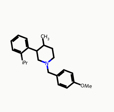 COc1ccc(CN2CCC(C)C(c3ccccc3C(C)C)C2)cc1